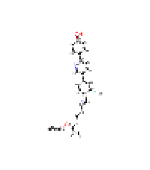 CCCCCOC(C)CCC/C=C/c1ccc(-c2ccc(-c3ccc(O)cc3)nc2)cc1F